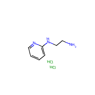 Cl.Cl.NCCNc1ccccn1